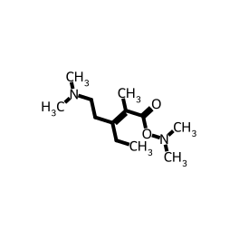 CCC(CCN(C)C)=C(C)C(=O)ON(C)C